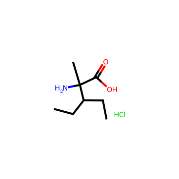 CCC(CC)C(C)(N)C(=O)O.Cl